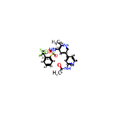 CC(=O)Nc1cc(-c2cnc(C)c(NS(=O)(=O)c3ccccc3C(F)(F)F)c2)ccn1